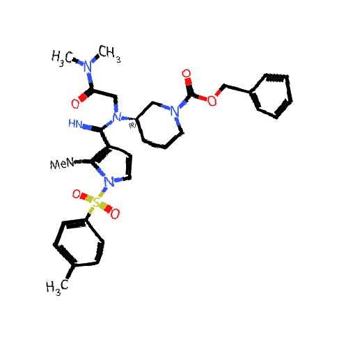 CNc1c(C(=N)N(CC(=O)N(C)C)[C@@H]2CCCN(C(=O)OCc3ccccc3)C2)ccn1S(=O)(=O)c1ccc(C)cc1